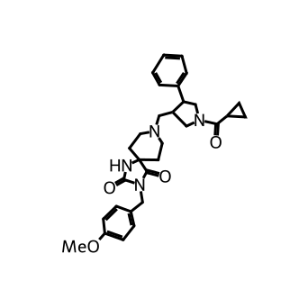 COc1ccc(CN2C(=O)NC3(CCN(CC4CN(C(=O)C5CC5)CC4c4ccccc4)CC3)C2=O)cc1